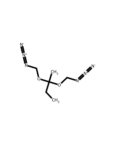 CCC(C)(OCN=[N+]=[N-])OCN=[N+]=[N-]